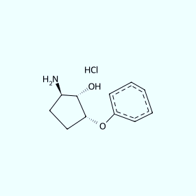 Cl.N[C@@H]1CC[C@@H](Oc2ccccc2)[C@H]1O